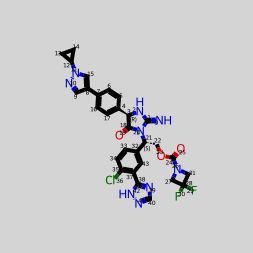 N=C1N[C@H](c2ccc(-c3cnn(C4CC4)c3)cc2)C(=O)N1[C@H](COC(=O)N1CC(F)(F)C1)c1ccc(Cl)c(-c2ncn[nH]2)c1